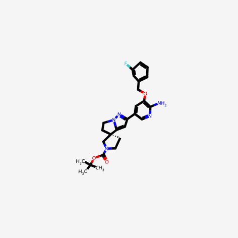 CC(C)(C)OC(=O)N1CC[C@@]2(CCn3nc(-c4cnc(N)c(OCc5cccc(F)c5)c4)cc32)C1